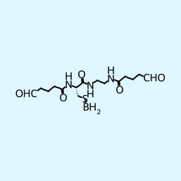 BSC[C@H](NC(=O)CCCC=O)C(=O)NCCNC(=O)CCCC=O